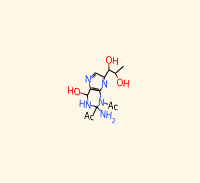 CC(=O)N1c2nc(C(O)C(C)O)cnc2C(O)NC1(N)C(C)=O